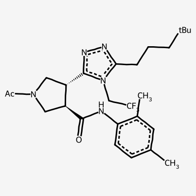 CC(=O)N1C[C@H](C(=O)Nc2ccc(C)cc2C)[C@@H](c2nnc(CCCC(C)(C)C)n2CC(F)(F)F)C1